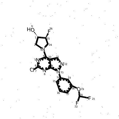 O[C@H]1CN(c2nc(Cl)nc3c2cnn3-c2cccc(OC(F)F)c2)C[C@@H]1F